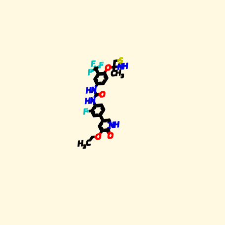 CCOc1cc(-c2ccc(NC(=O)Nc3ccc(OC4(C)CSN4)c(C(F)(F)F)c3)c(F)c2)c[nH]c1=O